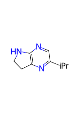 CC(C)c1cnc2c(n1)CCN2